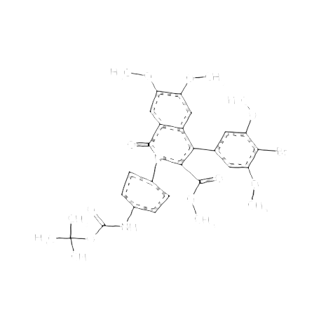 COC(=O)c1c(-c2cc(OC)c(Br)c(OC)c2)c2cc(OC)c(OC)cc2c(=O)n1-c1ccc(NC(=O)OC(C)(C)C)cc1